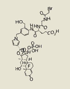 C[C@]12C=CC(=O)C=C1CC[C@H]1[C@@H]3C[C@H]4O[C@@H](c5ccn(Cc6ccc(NC(=O)[C@H](CCC(=O)O)NC(=O)CNC(=O)CBr)c(CO)c6)c5)O[C@@]4(C(=O)COP(=O)(O)O)[C@@]3(C)C[C@H](O)[C@@]12F